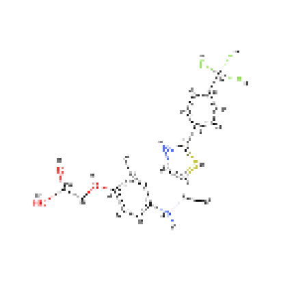 Cc1cc(N(C)[C@H](C)c2cnc(-c3ccc(C(F)(F)F)cc3)s2)ccc1OCC(=O)O